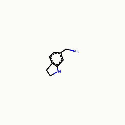 NCc1ccc2c(c1)NCC2